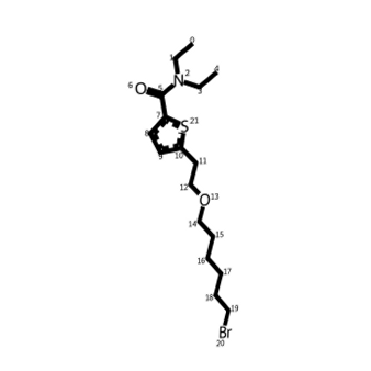 CCN(CC)C(=O)c1ccc(CCOCCCCCCBr)s1